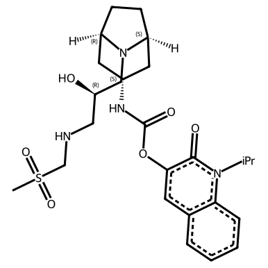 CC(C)n1c(=O)c(OC(=O)N[C@@H]2C[C@H]3CC[C@@H](C2)N3C[C@H](O)CNCS(C)(=O)=O)cc2ccccc21